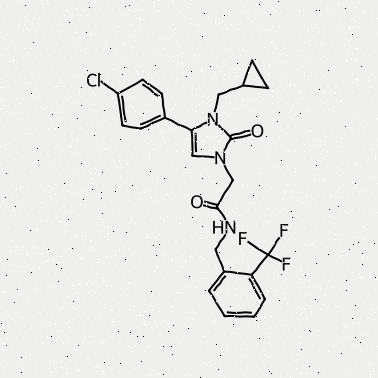 O=C(Cn1cc(-c2ccc(Cl)cc2)n(CC2CC2)c1=O)NCc1ccccc1C(F)(F)F